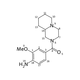 COc1cc(C(=O)N2CCN3CCCCC3C2)ccc1N